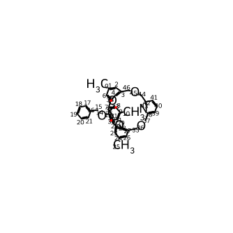 Cc1cc2c3c(c1)-c1cc(C)cc(c1OCc1ccccc1)-c1cc(C)cc(c1OCCCCO3)COCc1cccc(n1)COC2